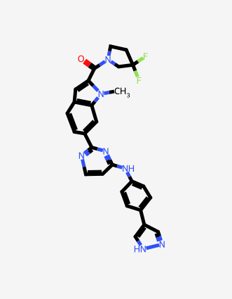 Cn1c(C(=O)N2CCC(F)(F)C2)cc2ccc(-c3nccc(Nc4ccc(-c5cn[nH]c5)cc4)n3)cc21